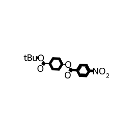 CC(C)(C)OC(=O)[C@H]1CC[C@H](OC(=O)c2ccc([N+](=O)[O-])cc2)CC1